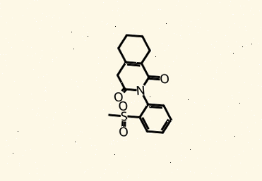 CS(=O)(=O)c1ccccc1N1C(=O)CC2=C(CCCC2)C1=O